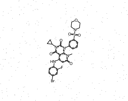 Cn1c(=O)cc(Nc2ccc(Br)cc2F)c2c(=O)n(C3CC3)c(=O)n(-c3cccc(S(=O)(=O)N4CCOCC4)c3)c21